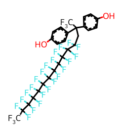 Oc1ccc(C(CC(F)(F)C(F)(F)C(F)(F)C(F)(F)C(F)(F)C(F)(F)C(F)(F)C(F)(F)C(F)(F)C(F)(F)C(F)(F)C(F)(F)F)(c2ccc(O)cc2)C(F)(F)F)cc1